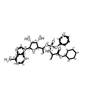 CC(NP(=O)(Oc1cccnc1)OC(C)C1OC(n2cnc3c(N)ncnc32)[C@H](O)[C@@H]1O)C(=O)OC1CCCCC1